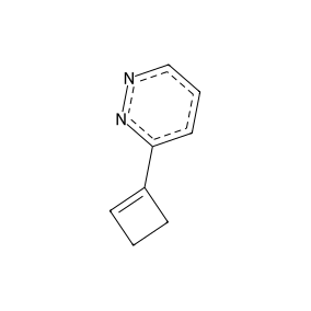 C1=C(c2cccnn2)CC1